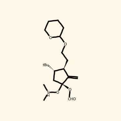 C=C1[C@H](CCOC2CCCCO2)[C@@H](C(C)(C)C)C[C@@]1(OC=O)O[SiH](C)C